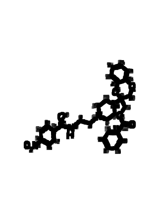 O=C(NCCN1CCN(C2(COC(=O)c3ccccc3)COc3ccccc3O2)CC1)c1ccc([N+](=O)[O-])cc1